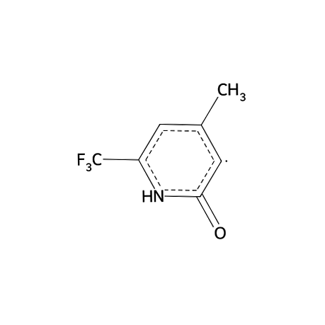 Cc1[c]c(=O)[nH]c(C(F)(F)F)c1